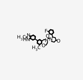 Cc1nc2ccc(-c3cc(C)c4c(c3)CN(C(=O)N3CCC(=O)CC3c3cccc(F)c3)CCO4)cc2[nH]1